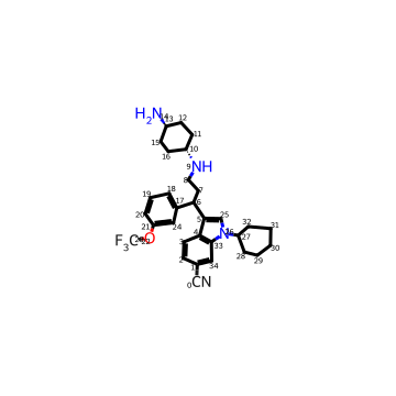 N#Cc1ccc2c(C(CCN[C@H]3CC[C@H](N)CC3)c3cccc(OC(F)(F)F)c3)cn(C3CCCCC3)c2c1